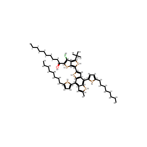 CCCCCCCCCC(=O)c1sc2c(-c3cc4c(-c5ccc(CCCCCCCC)s5)c5sc(C)cc5c(-c5ccc(CCCCCCCC)s5)c4s3)sc(C(C)(C)C)c2c1F